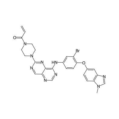 C=CC(=O)N1CCN(c2ncc3ncnc(Nc4ccc(Oc5ccc6c(c5)ncn6C)c(Br)c4)c3n2)CC1